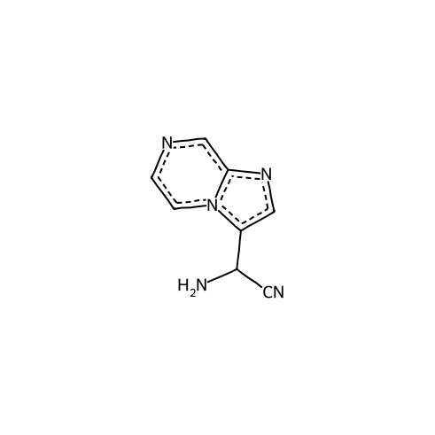 N#CC(N)c1cnc2cnccn12